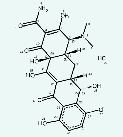 CN(C)[C@@H]1C(O)=C(C(N)=O)C(=O)[C@@]2(O)C(O)=C3C(=O)c4c(O)ccc(Cl)c4[C@@H](O)[C@H]3C[C@@H]12.Cl